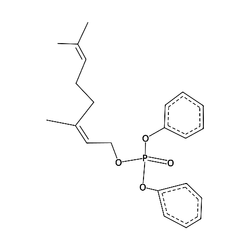 CC(C)=CCCC(C)=CCOP(=O)(Oc1ccccc1)Oc1ccccc1